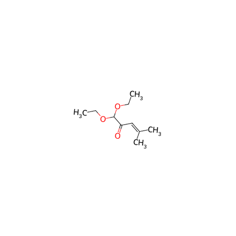 CCOC(OCC)C(=O)C=C(C)C